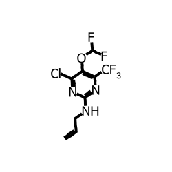 C=CCNc1nc(Cl)c(OC(F)F)c(C(F)(F)F)n1